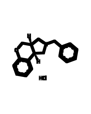 Cl.c1ccc(CN2C[C@@H]3COc4ccccc4[C@@H]3C2)cc1